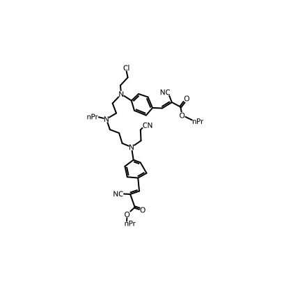 CCCOC(=O)/C(C#N)=C/c1ccc(N(CCC#N)CCCN(CCC)CCN(CCCl)c2ccc(/C=C(\C#N)C(=O)OCCC)cc2)cc1